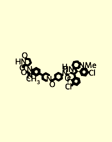 CNc1cc(Cl)ccc1[C@@H]1C(c2cccc(Cl)c2F)[C@H](C(=O)NC2CCC(C(=O)N3CCC(c4ccc5c(c4)n(C)c(=O)n5C4CCC(=O)NC4=O)CC3)CC2)NC12CCCCC2